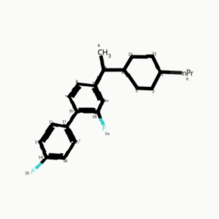 CCCC1CCC(C(C)c2ccc(-c3ccc(F)cc3)c(F)c2)CC1